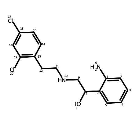 Nc1ccccc1C(O)CNCCc1ccc(Cl)cc1Cl